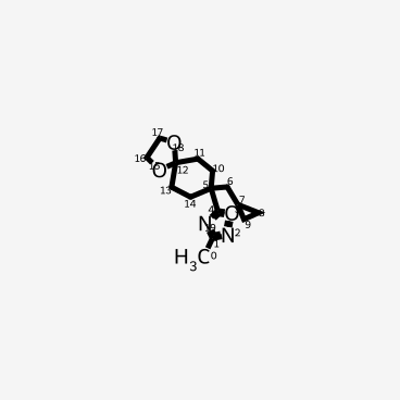 Cc1noc(C2(CC3CC3)CCC3(CC2)OCCO3)n1